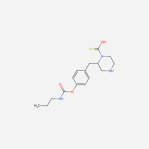 CCCNC(=O)Oc1ccc(CC2CNCCN2C(O)=S)cc1